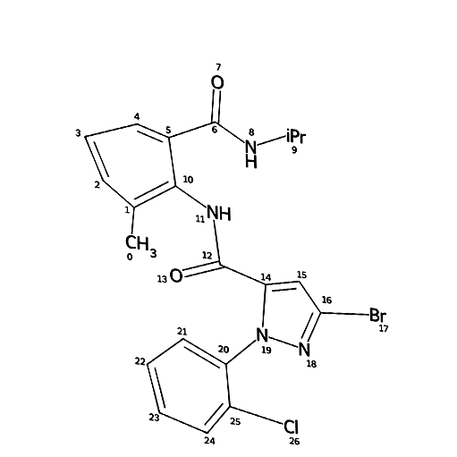 Cc1cccc(C(=O)NC(C)C)c1NC(=O)c1cc(Br)nn1-c1ccccc1Cl